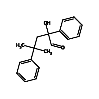 CC(C)(CC(O)(C=O)c1ccccc1)c1ccccc1